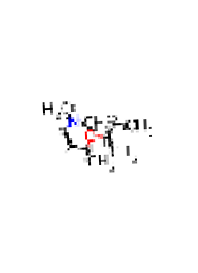 C=C(/C=C\N(C)C)OC(=C)CC